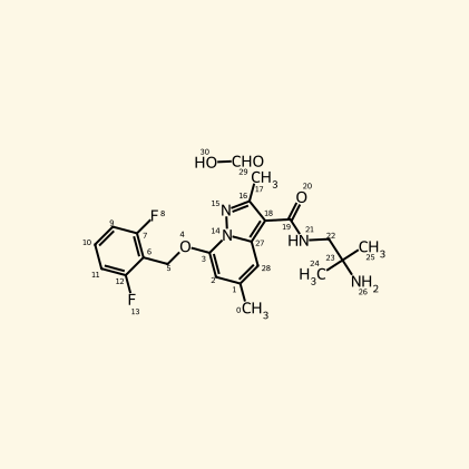 Cc1cc(OCc2c(F)cccc2F)n2nc(C)c(C(=O)NCC(C)(C)N)c2c1.O=CO